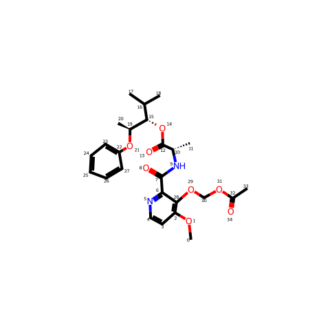 COc1ccnc(C(=O)N[C@@H](C)C(=O)O[C@@H](C(C)C)[C@H](C)Oc2ccccc2)c1OCOC(C)=O